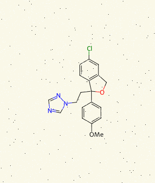 COc1ccc(C2(CCn3cncn3)OCc3cc(Cl)ccc32)cc1